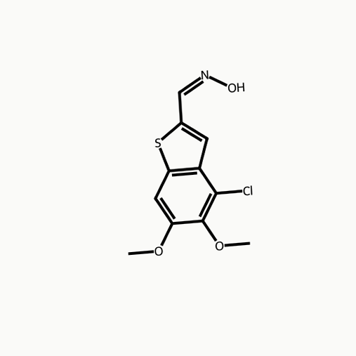 COc1cc2sc(/C=N\O)cc2c(Cl)c1OC